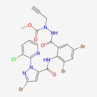 C#CCN(NC(=O)c1cc(Br)cc(Br)c1NC(=O)c1cc(Br)nn1-c1ncccc1Cl)C(=O)OC